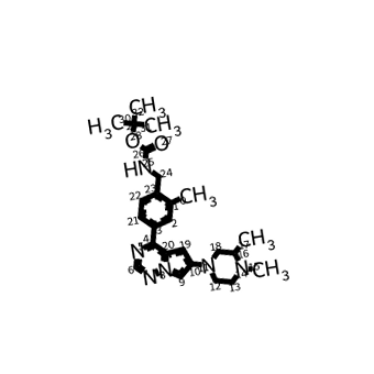 Cc1cc(-c2ncnn3cc(N4CCN(C)C(C)C4)cc23)ccc1CNC(=O)OC(C)(C)C